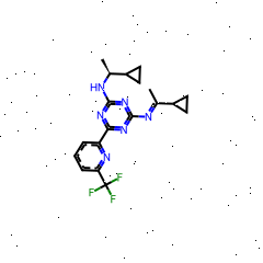 C/C(=N\c1nc(N[C@@H](C)C2CC2)nc(-c2cccc(C(F)(F)F)n2)n1)C1CC1